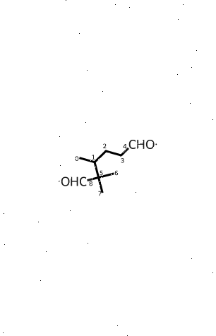 CC(CC[C]=O)C(C)(C)[C]=O